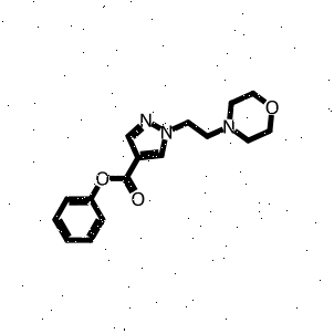 O=C(Oc1ccccc1)c1cnn(CCN2CCOCC2)c1